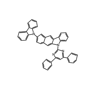 c1ccc(-c2cc(-c3ccccc3)nc(-n3c4ccccc4c4cc5cc(-n6c7ccccc7c7ccccc76)ccc5cc43)n2)cc1